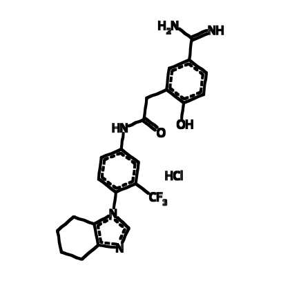 Cl.N=C(N)c1ccc(O)c(CC(=O)Nc2ccc(-n3cnc4c3CCCC4)c(C(F)(F)F)c2)c1